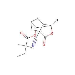 CCC(C)(C)C(=O)OC1C2CC3[C@H]1OC(=O)C3(C#N)C2